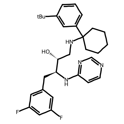 CC(C)(C)c1cccc(C2(NC[C@@H](O)[C@H](Cc3cc(F)cc(F)c3)Nc3ccncn3)CCCCC2)c1